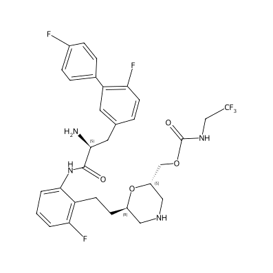 N[C@@H](Cc1ccc(F)c(-c2ccc(F)cc2)c1)C(=O)Nc1cccc(F)c1CC[C@@H]1CNC[C@@H](COC(=O)NCC(F)(F)F)O1